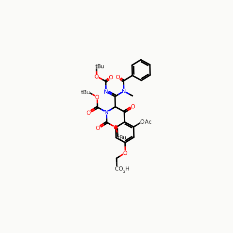 CC(=O)Oc1cc(OCC(=O)O)ccc1C(=O)C(C(=NC(=O)OC(C)(C)C)N(C)C(=O)c1ccccc1)N(C(=O)OC(C)(C)C)C(=O)OC(C)(C)C